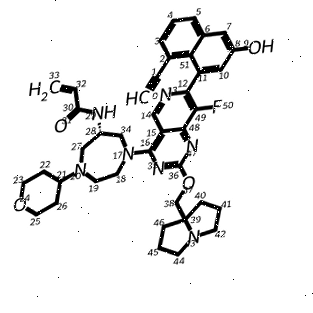 C#Cc1cccc2cc(O)cc(-c3ncc4c(N5CCN(C6CCOCC6)C[C@H](NC(=O)C=C)C5)nc(OCC56CCCN5CCC6)nc4c3F)c12